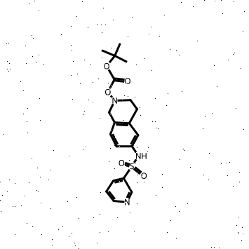 CC(C)(C)OC(=O)ON1CCc2cc(NS(=O)(=O)c3cccnc3)ccc2C1